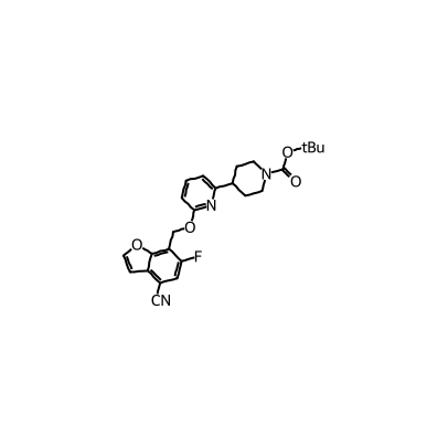 CC(C)(C)OC(=O)N1CCC(c2cccc(OCc3c(F)cc(C#N)c4ccoc34)n2)CC1